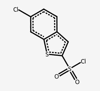 O=S(=O)(Cl)c1cc2ccc(Cl)cc2s1